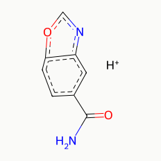 NC(=O)c1ccc2ocnc2c1.[H+]